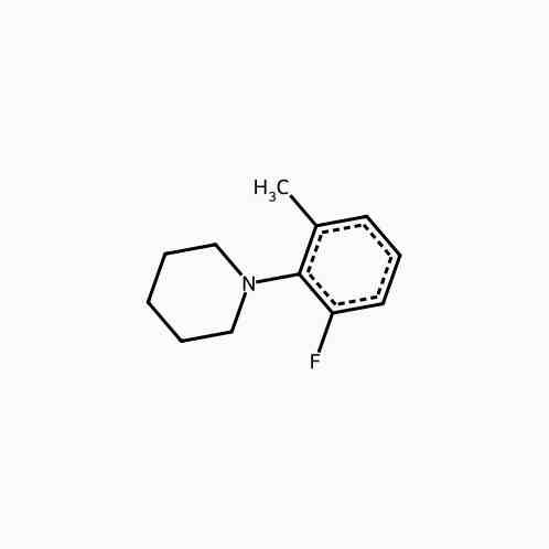 Cc1cccc(F)c1N1CCCCC1